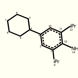 CC(C)c1cc(C2CCCCC2)cc(C(C)C)c1N